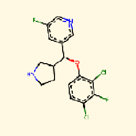 Fc1cncc([C@@H](Oc2ccc(Cl)c(F)c2Cl)C2CCNC2)c1